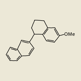 COc1ccc2c(c1)CCCC2c1ccc2ccccc2c1